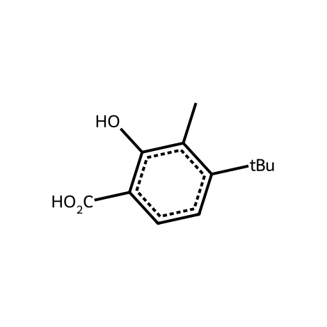 Cc1c(C(C)(C)C)ccc(C(=O)O)c1O